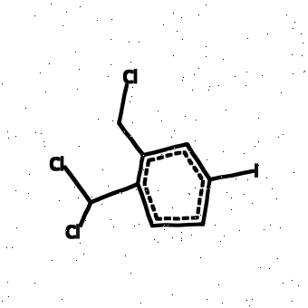 ClCc1cc(I)ccc1C(Cl)Cl